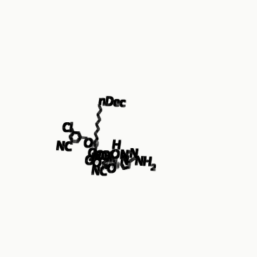 CCCCCCCCCCCCCCCCCC[C@@H](COP(=O)(O)OC1[C@@]2(C#N)O[C@@H](c3ccc4c(N)ncnn34)[C@H](O)[C@@]12O)OCc1cc(Cl)cc(C#N)c1